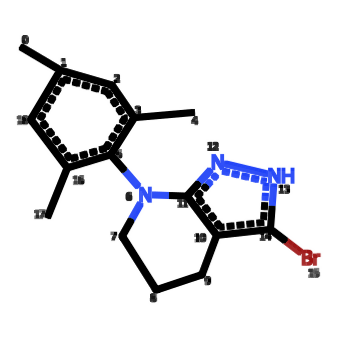 Cc1cc(C)c(N2CCCc3c2n[nH]c3Br)c(C)c1